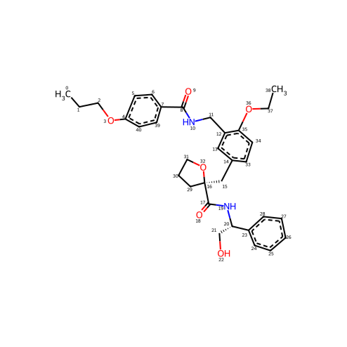 CCCOc1ccc(C(=O)NCc2cc(C[C@]3(C(=O)N[C@@H](CO)c4ccccc4)CCCO3)ccc2OCC)cc1